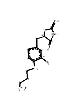 O=C(O)CCCOc1ccc(CC2SC(=O)NC2=O)cc1Br